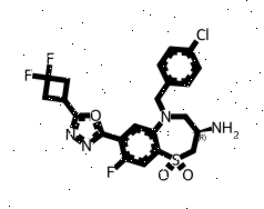 N[C@@H]1CN(Cc2ccc(Cl)cc2)c2cc(-c3nnc(C4CC(F)(F)C4)o3)c(F)cc2S(=O)(=O)C1